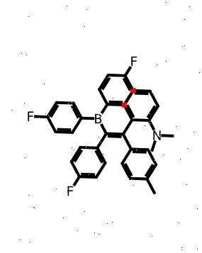 Cc1ccc(/C(=C(/B(c2ccc(F)cc2)c2ccc(F)cc2)c2ccc(F)cc2)c2ccccc2N(C)C)cc1